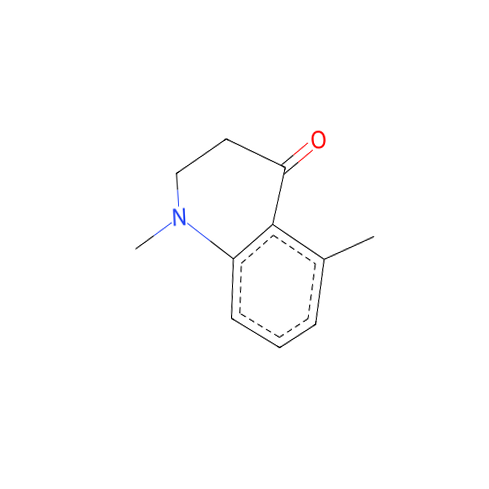 Cc1cccc2c1C(=O)CCN2C